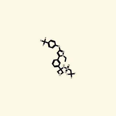 CCn1nc(Oc2ccc(C(F)(F)F)cc2)cc1-c1cccc(C2(NS(=O)(=O)CC(F)(F)F)COC2)c1